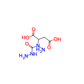 NNC(=O)N(N)C(CC(=O)O)C(=O)O